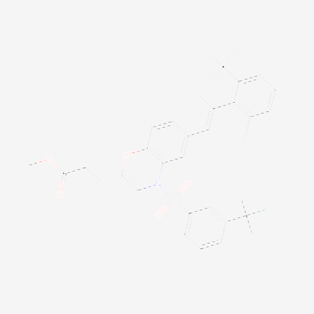 COC(=O)CC[C@H]1CN(S(=O)(=O)c2cccc(C(F)(F)F)c2)c2cc(/C=C(\C)c3c(Cl)cccc3C(F)(F)F)ccc2O1